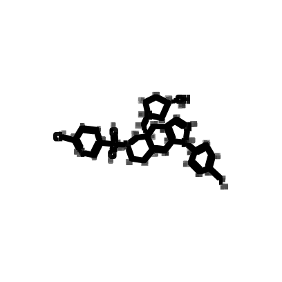 O=S(=O)(c1ccc(Cl)nc1)N1CCC2=Cc3c(cnn3-c3ccc(F)cc3)C[C@]2(CN2CC[C@H](O)C2)C1